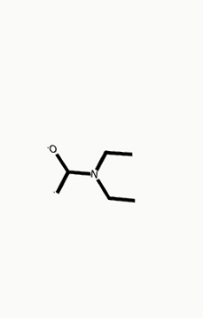 [CH2]C([O])N(CC)CC